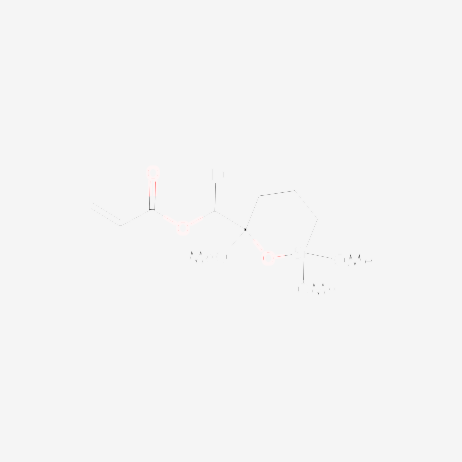 C=CC(=O)OC(CC)C1(OC)CCC[Si](OC)(OC)O1